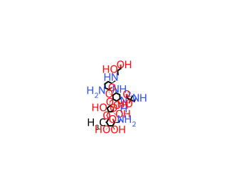 C[C@H]1[C@@H](O[C@H]2[C@@H](O)[C@H](O[C@@H]3[C@@H](O)[C@H](NC(=O)C4(O)CNC4)C[C@H](N)[C@H]3O[C@H]3O[C@H](CNCC(O)CO)CC[C@H]3N)O[C@@H]2CO)O[C@@H](CN)[C@@H](O)[C@@H]1O